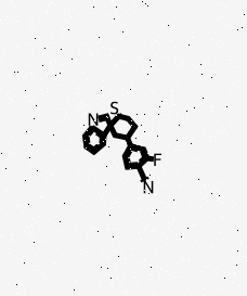 N#Cc1ccc(C2CCC(=S)C3(C=Nc4ccccc43)C2)cc1F